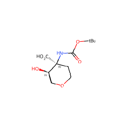 CC(C)(C)OC(=O)N[C@@]1(C(=O)O)CCOC[C@H]1O